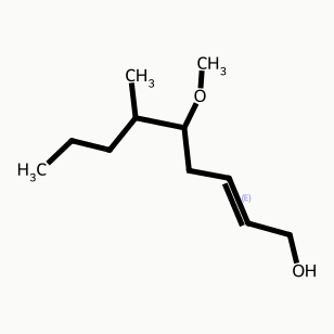 CCCC(C)C(C/C=C/CO)OC